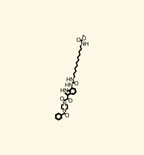 COC(=O)NCCCCCCCCCCCCNC(=O)Nc1cccc2c(C(=O)C(=O)N3CCN(C(=O)c4ccccc4)CC3)c[nH]c12